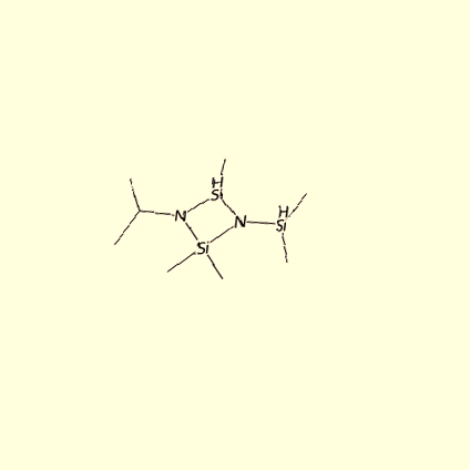 CC(C)N1[SiH](C)N([SiH](C)C)[Si]1(C)C